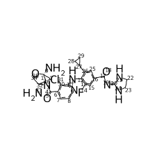 N[C@@]12CN(C(=O)c3ccnc(Nc4c(F)cc(C(=O)N=C5NCCN5)cc4C4CC4)c3Cl)[C@@](N)(CO1)C2